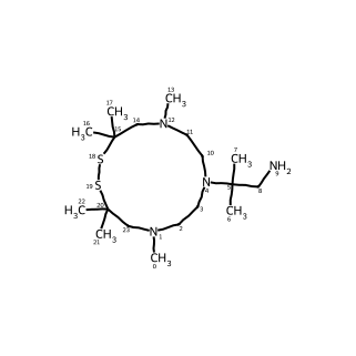 CN1CCN(C(C)(C)CN)CCN(C)CC(C)(C)SSC(C)(C)C1